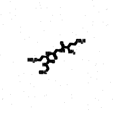 N[C@H](CCC(=O)O)C(=O)NCC(=O)N[C@H](CCC(=O)O)C(=O)NCC=O